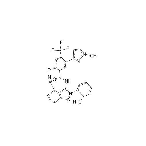 Cc1ccccc1-n1nc2cccc(C#N)c2c1NC(=O)c1cc(-c2ccn(C)n2)c(C(F)(F)F)cc1F